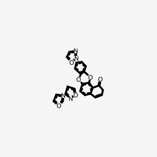 O=C1CC=Cc2ccc3c(c21)Oc1ccccc1O3.c1cnoc1.c1cocn1.c1conn1